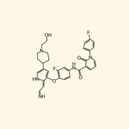 N=C/C=C1\NC=C(C2CCN(CCO)CC2)C=C1Oc1ccc(NC(=O)c2cccn(-c3ccc(F)cc3)c2=O)cc1F